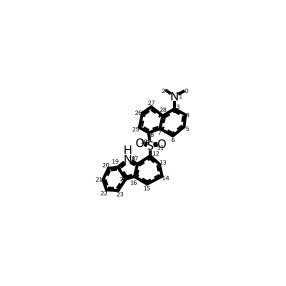 CN(C)c1cccc2c(S(=O)(=O)c3cccc4c3[nH]c3ccccc34)cccc12